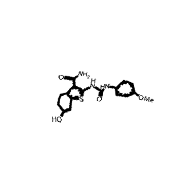 COc1ccc(NC(=O)Nc2sc3c(c2C(N)=O)CCC(O)C3)cc1